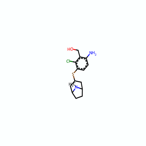 CN1C2CCC1CC(Sc1ccc(N)c(CO)c1Cl)C2